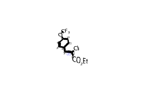 CCOC(=O)/C(Cl)=C/c1ccc(OC(F)(F)F)cc1